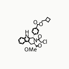 COC(=O)[C@H]1Cc2c([nH]c3ccccc23)[C@H](c2ccc(C(=O)OCC3CCC3)cc2)N1C(=O)CCl